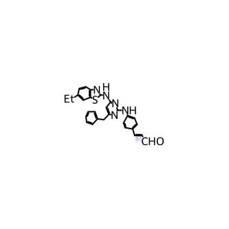 CCc1ccc2nc(Nc3cc(Cc4ccccc4)nc(Nc4ccc(/C=C/C=O)cc4)n3)sc2c1